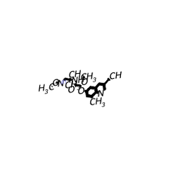 C#Cc1cnc2c(C)cc(OC(OC)C(=O)NC(C)(C)/C=N/OC)cc2c1